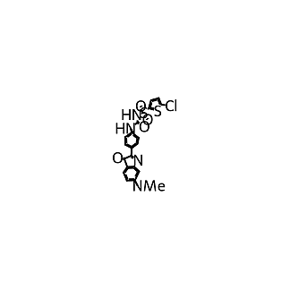 CNc1ccc2c(c1)N=C(c1ccc(NC(=O)NS(=O)(=O)c3ccc(Cl)s3)cc1)C2=O